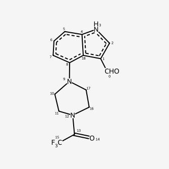 O=Cc1c[nH]c2cccc(N3CCN(C(=O)C(F)(F)F)CC3)c12